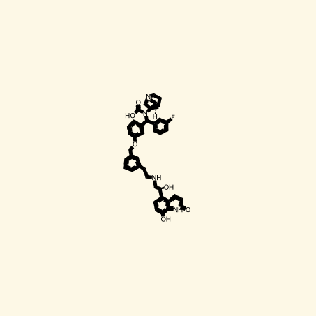 O=C(O)N(C(c1cccc(F)c1)c1cccc(OCc2cccc(CCNC[C@@H](O)c3ccc(O)c4[nH]c(=O)ccc34)c2)c1)[C@H]1CN2CCC1CC2